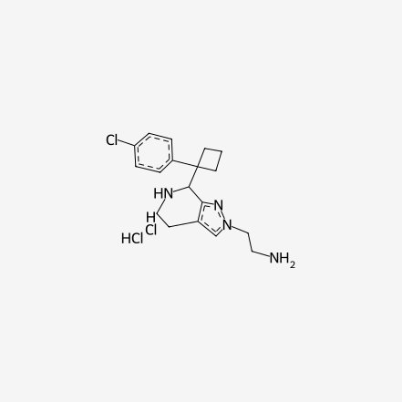 Cl.Cl.NCCn1cc2c(n1)C(C1(c3ccc(Cl)cc3)CCC1)NCC2